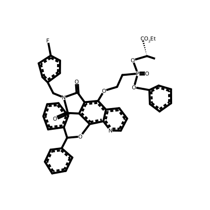 CCOC(=O)[C@H](C)OP(=O)(CCOc1c2c(c(OC(c3ccccc3)c3ccccc3)c3ncccc13)C(=O)N(Cc1ccc(F)cc1)C2=O)Oc1ccccc1